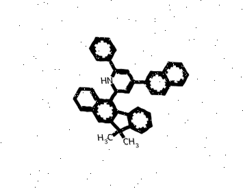 CC1(C)c2ccccc2-c2c1cc1c(c2C2C=C(c3ccc4ccccc4c3)C=C(c3ccccc3)N2)=CCCC=1